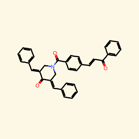 O=C1/C(=C/c2ccccc2)CN(C(=O)c2ccc(/C=C/C(=O)c3ccccc3)cc2)C/C1=C\c1ccccc1